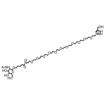 CC(=O)NC1C(OCCCCC(=O)NCCOCCOCCOCCOCCOCCOCCOCCOCCOCCOCCOCCN2C=C(CO)NN2)OC(CO)C(O)C1O